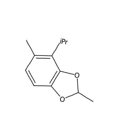 Cc1ccc2c(c1C(C)C)OC(C)O2